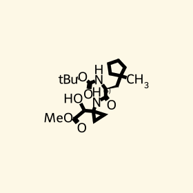 COC(=O)C(O)C1(NC(=O)[C@H](CC2(C)CCCC2)NC(=O)OC(C)(C)C)CC1